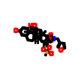 C[C@]12C=CC(=O)C=C1CC[C@@H]1[C@@H]2[C@@H](O)C[C@@]2(C)[C@H]1C[C@H]1CN(Cc3ccoc3)O[C@]12C(=O)COS(C)(=O)=O